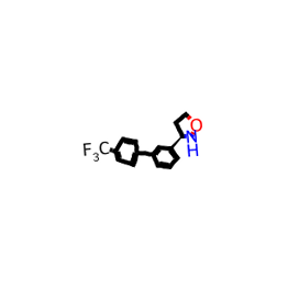 FC(F)(F)c1ccc(-c2cccc([C@H]3CCON3)c2)cc1